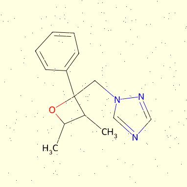 CC1OC(Cn2cncn2)(c2ccccc2)C1C